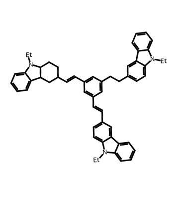 CCN1c2ccccc2C2CC(/C=C/c3cc(/C=C/c4ccc5c(c4)c4ccccc4n5CC)cc(CCc4ccc5c(c4)c4ccccc4n5CC)c3)CCC21